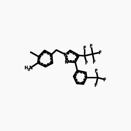 Cc1cc(Cn2cc(C(F)(F)C(F)(F)F)c(-c3cccc(C(F)(F)F)c3)n2)ccc1N